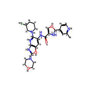 Cc1cc(C2NC(C(=O)Nc3cc4oc(N5CCOCC5)nc4nc3N3CCCC(F)C3)=CO2)ccn1